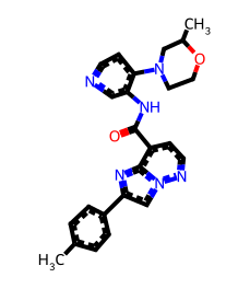 Cc1ccc(-c2cn3nccc(C(=O)Nc4cnccc4N4CCOC(C)C4)c3n2)cc1